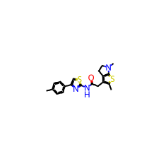 Cc1ccc(-c2csc(NC(=O)Cc3c(C)sc4c3CCN4C)n2)cc1